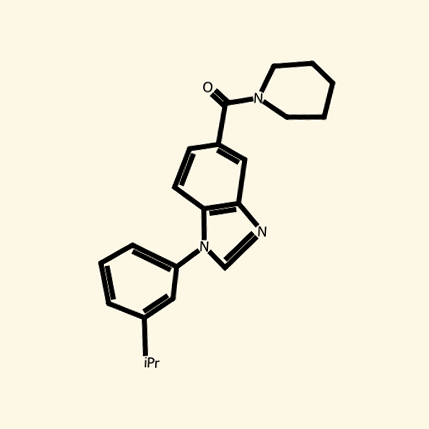 CC(C)c1cccc(-n2cnc3cc(C(=O)N4CCCCC4)ccc32)c1